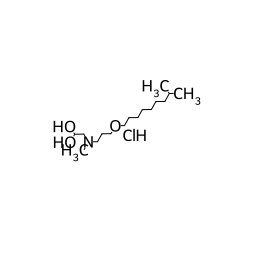 CC(C)CCCCCCCOCCCN(C)CC(O)O.Cl